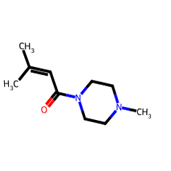 CC(C)=CC(=O)N1CCN(C)CC1